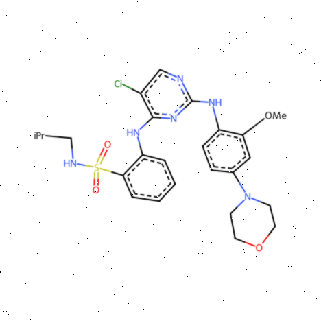 COc1cc(N2CCOCC2)ccc1Nc1ncc(Cl)c(Nc2ccccc2S(=O)(=O)NCC(C)C)n1